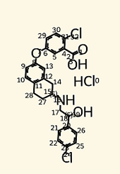 Cl.O=C(O)c1cc(Oc2ccc3c(c2)C[C@@H](NC[C@@H](O)c2ccc(Cl)cc2)CC3)ccc1Cl